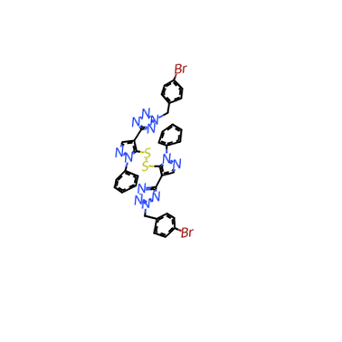 Brc1ccc(Cn2nnc(-c3cnn(-c4ccccc4)c3SSc3c(-c4nnn(Cc5ccc(Br)cc5)n4)cnn3-c3ccccc3)n2)cc1